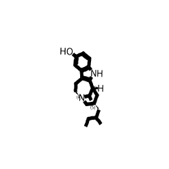 CCC(C)C[C@H]1C[C@H]2c3[nH]c4ccc(O)cc4c3CC[N@@](C1)C2C